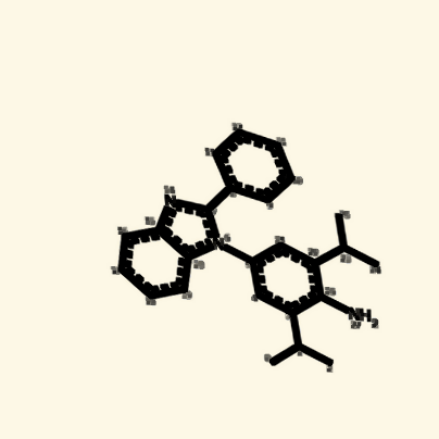 CC(C)c1cc(-n2c(-c3ccccc3)nc3ccccc32)cc(C(C)C)c1N